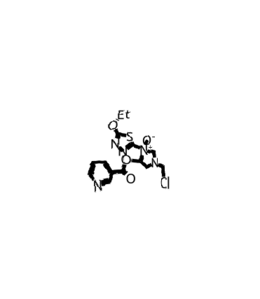 CCOc1nnc([N+]2([O-])CN(CCl)CC2OC(=O)c2cccnc2)s1